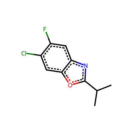 CC(C)c1nc2cc(F)c(Cl)cc2o1